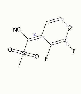 CS(=O)(=O)/C(C#N)=C1/C=COC(F)=C1F